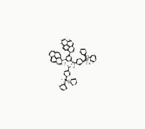 c1ccc(-n2c(-c3ccc(-c4nc(-c5ccc(-c6nc7ccccc7n6-c6ccccc6)cc5)c5cc(-c6ccc7ccc8cccc9ccc6c7c89)cc(-c6ccc7ccc8cccc9ccc6c7c89)c5n4)cc3)nc3ccccc32)cc1